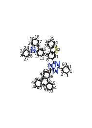 c1ccc(-c2nc(-c3cc(-c4ccc5c(c4)c4ccccc4n5-c4ccccc4)c4c(c3)sc3ccccc34)nc(-c3ccc4c5ccccc5c5ccccc5c4c3)n2)cc1